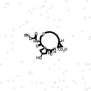 CC(C)(C)OC(=O)N[C@H]1CCCCCCC[C@@H]2C[C@@]2(C(=O)O)NC(=O)[C@@H]2C[C@@H](O)CN2C1=O